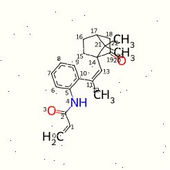 C=CC(=O)Nc1ccccc1C(C)=CC12CCC(CC1=O)C2(C)C